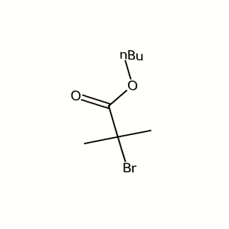 [CH2]CCCOC(=O)C(C)(C)Br